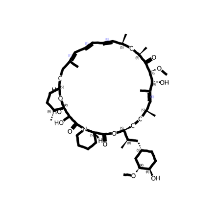 CO[C@@H]1C[C@H](C[C@@H](C)[C@@H]2CC[C@H](C)/C=C(\C)[C@@H](O)[C@@H](OC)C(=O)[C@H](C)C[C@H](C)/C=C/C=C/C=C(\C)CC[C@@H]3CC[C@@H](C)[C@@](O)(O3)C(O)C(=O)N3CCCC[C@H]3C(=O)O2)CC[C@H]1O